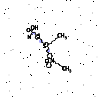 CCCCCCc1cc(/C=C/c2ccc(/C=C(\C#N)C(=O)O)s2)sc1/C=C/c1ccc2c(c1)Oc1ccccc1N2CCCCCC